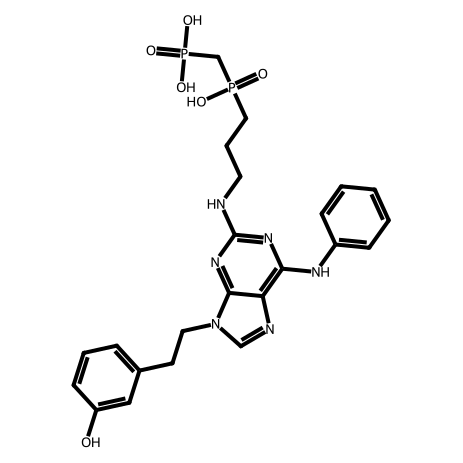 O=P(O)(O)CP(=O)(O)CCCNc1nc(Nc2ccccc2)c2ncn(CCc3cccc(O)c3)c2n1